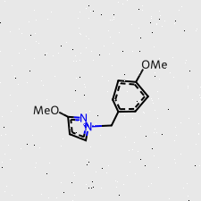 COc1ccc(Cn2ccc(OC)n2)cc1